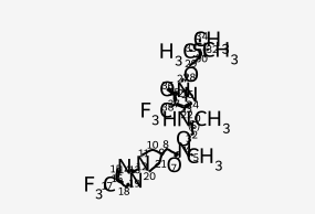 C[C@@H](CON(C)C(=O)CC1CCN(c2ncc(C(F)(F)F)cn2)CC1)Nc1cnn(COCC[Si](C)(C)C)c(=O)c1C(F)(F)F